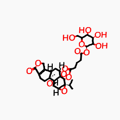 CC(C)[C@]12O[C@H]1[C@@H]1O[C@]13[C@]1(O[C@H]1C[C@H]1C4=C(CC[C@@]13C)C(=O)OC4)[C@@H]2OC(=O)CCCC(=O)O[C@@H]1OC(CO)[C@@H](O)[C@H](O)C1O